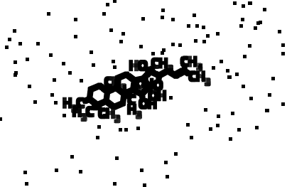 CC(C)=CCC1OC2(O)C(C3CCC4C5(C)CCC(C)C(C)(C)C5CCC4(C)C3(O)C2O)C1(C)O